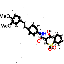 COc1ccc(CCc2ccc(NC(=O)C3CS(=O)(=O)c4ccccc4C3=O)cc2)cc1OC